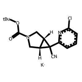 CC(C)(C)OC(=O)N1C[C@@H]2[C@H](C1)C2(C#N)c1cccc(Cl)n1.[K]